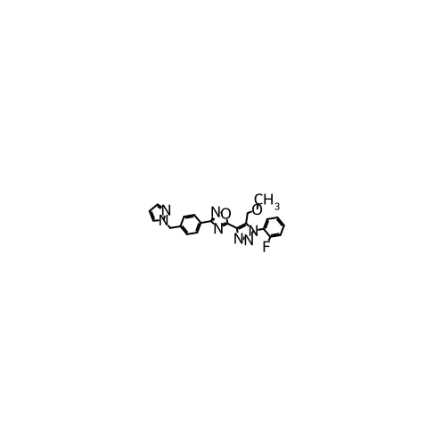 COCc1c(-c2nc(-c3ccc(Cn4cccn4)cc3)no2)nnn1-c1ccccc1F